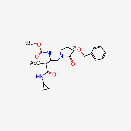 CC(=O)OC(C(=O)NC1CC1)C(CN1CC[C@H](OCc2ccccc2)C1=O)NC(=O)OC(C)(C)C